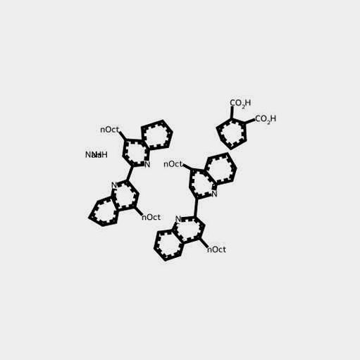 CCCCCCCCc1cc(-c2cc(CCCCCCCC)c3ccccc3n2)nc2ccccc12.CCCCCCCCc1cc(-c2cc(CCCCCCCC)c3ccccc3n2)nc2ccccc12.O=C(O)c1ccccc1C(=O)O.[NaH].[NaH]